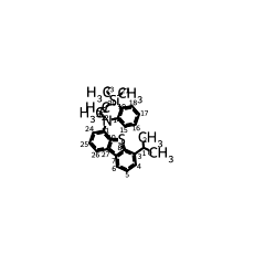 CC(C)c1cccc2c1sc1c(N(C)c3ccccc3[Si](C)(C)C)cccc12